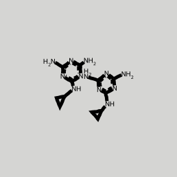 Nc1nc(N)nc(NC2CC2)n1.Nc1nc(N)nc(NC2CC2)n1